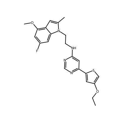 CCOc1csc(-c2cc(NCCn3c(C)cc4c(OC)cc(F)cc43)ncn2)c1